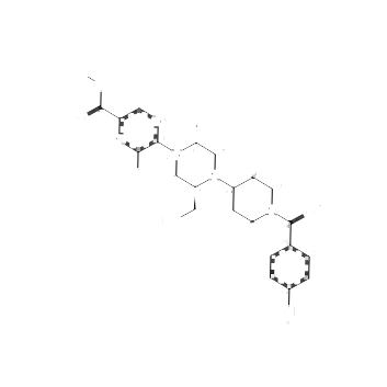 CC[C@H]1CN(c2ncc(C(=O)OC)nc2C)[C@H](C)CN1C1CCN(C(=O)c2ccc(Cl)cc2)CC1